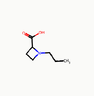 CCCN1CCC1C(=O)O